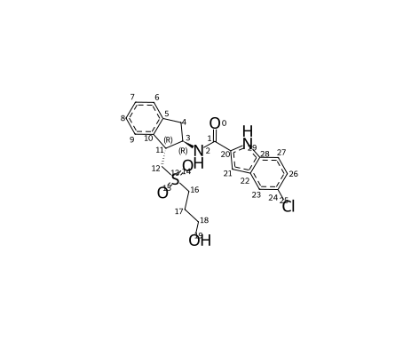 O=C(N[C@@H]1Cc2ccccc2[C@H]1CS(=O)(=O)CCCO)c1cc2cc(Cl)ccc2[nH]1